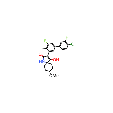 CO[C@H]1CC[C@@]2(CC1)NC(=O)C(c1cc(-c3ccc(Cl)c(F)c3)cc(F)c1C)=C2O